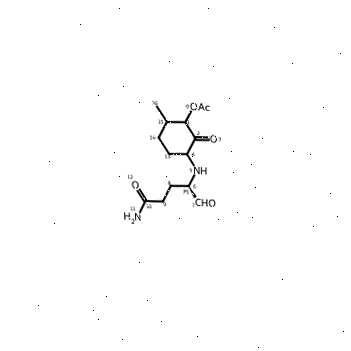 CC(=O)OC1C(=O)C(N[C@@H](C=O)CCC(N)=O)CCC1C